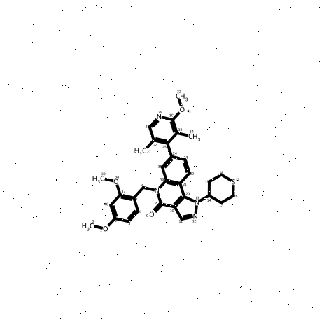 COc1ccc(Cn2c(=O)c3cnn(C4CCSCC4)c3c3ccc(-c4c(C)cnc(OC)c4C)cc32)c(OC)c1